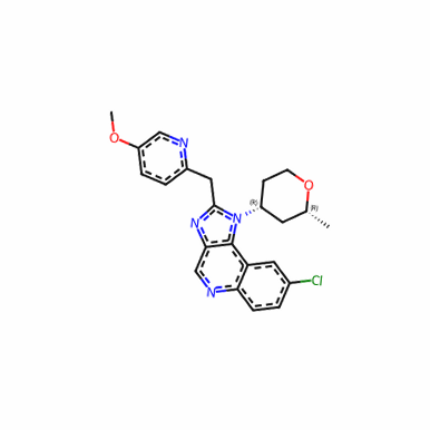 COc1ccc(Cc2nc3cnc4ccc(Cl)cc4c3n2[C@@H]2CCO[C@H](C)C2)nc1